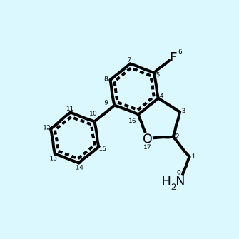 NCC1Cc2c(F)ccc(-c3ccccc3)c2O1